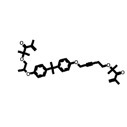 C=C(C)C(=O)C(C)(C)OCCC#CCOc1ccc(C(C)(C)c2ccc(OC(C)COC(C)(C)C(=O)C(=C)C)cc2)cc1